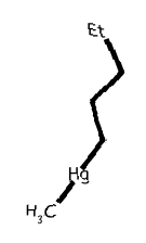 CCCC[CH2][Hg][CH3]